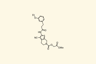 CCOc1cccc(CCC(=O)Nc2sc3c(c2C#N)CCN(C(=O)OCC(=O)OC)C3)c1